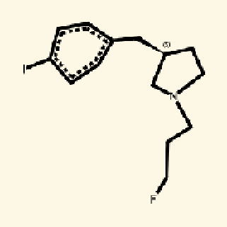 FCCCN1CC[C@H](Cc2ccc(I)cc2)C1